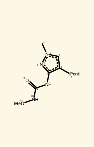 CCCC(C)c1cn(C)nc1NC(=O)NOC